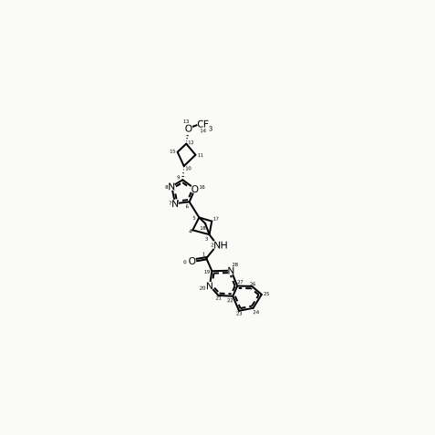 O=C(NC12CC(c3nnc([C@H]4C[C@@H](OC(F)(F)F)C4)o3)(C1)C2)c1ncc2ccccc2n1